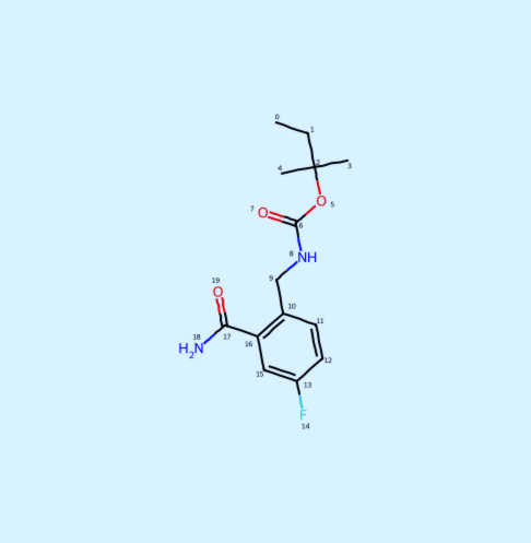 CCC(C)(C)OC(=O)NCc1ccc(F)cc1C(N)=O